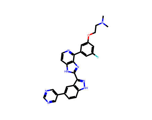 CN(C)CCOc1cc(F)cc(-c2nccc3[nH]c(-c4n[nH]c5ccc(-c6cncnc6)cc45)nc23)c1